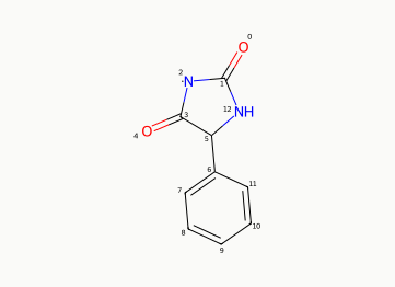 O=C1[N]C(=O)C(c2ccccc2)N1